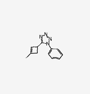 CC1=CC(c2nnnn2-c2ccccc2)C1